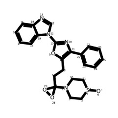 [O-][S+]1CCN(C2(CCc3oc(-n4cnc5ccccc54)nc3-c3ccccc3)OO2)CC1